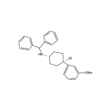 CC[C@]1(c2cccc(OC)c2)CC[C@H](NC(c2ccccc2)c2ccccc2)CC1